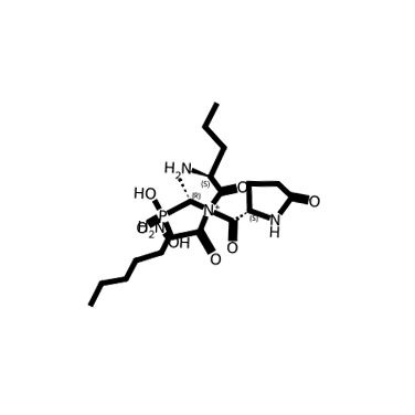 CCCCCC(N)C(=O)[N+](C(=O)[C@@H]1CCC(=O)N1)(C(=O)[C@@H](N)CCC)[C@@H](C)P(=O)(O)O